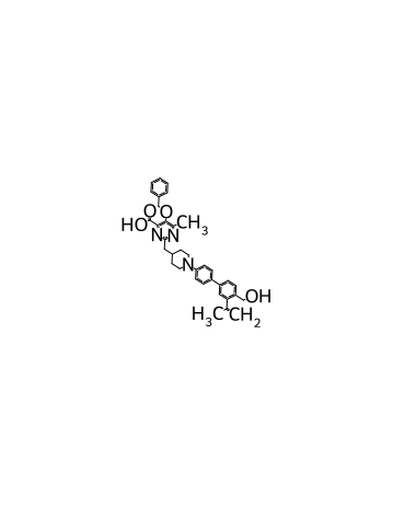 C=C(C)c1cc(-c2ccc(N3CCC(Cc4nc(C)c(OCc5ccccc5)c(C(=O)O)n4)CC3)cc2)ccc1CO